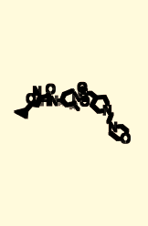 C[C@H]1C[C@@H](NC(=O)c2cc(C3CC3)on2)CCN1S(=O)(=O)CC1CCN(CCN2CCOCC2)CC1